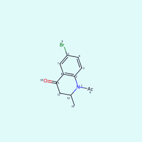 CC(=O)N1c2ccc(Br)cc2C(=O)CC1C